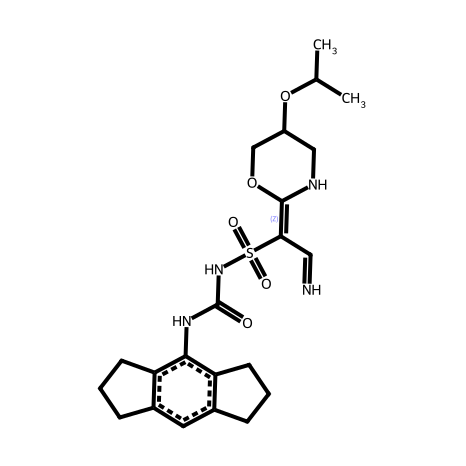 CC(C)OC1CN/C(=C(\C=N)S(=O)(=O)NC(=O)Nc2c3c(cc4c2CCC4)CCC3)OC1